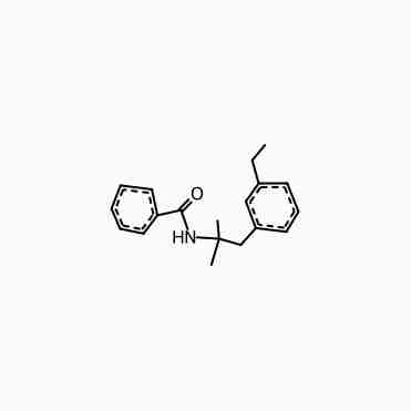 CCc1cccc(CC(C)(C)NC(=O)c2ccccc2)c1